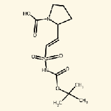 CC(C)(C)OC(=O)NS(=O)(=O)C=CC1CCCN1C(=O)O